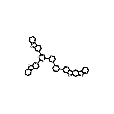 c1cc(-c2cccc(-c3nc(-c4ccc5c(c4)oc4ccccc45)nc(-c4ccc5c(c4)oc4ccccc45)n3)c2)cc(-c2ccc3c(c2)oc2cc4oc5ccccc5c4cc23)c1